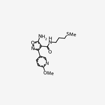 COc1ccc(-c2noc(N)c2C(=O)NCCCSC)cn1